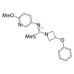 COc1ccc(/N=C(\SC)N2CC(Oc3ccccc3)C2)cn1